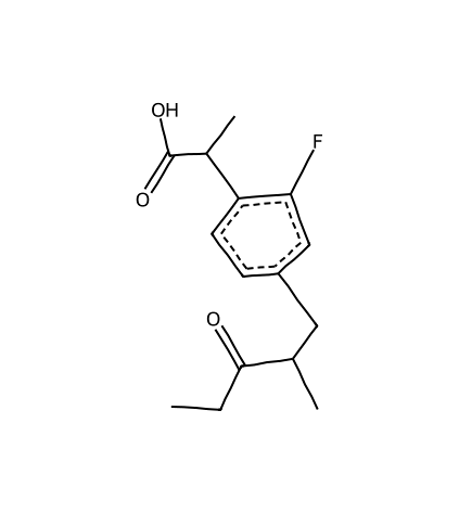 CCC(=O)C(C)Cc1ccc(C(C)C(=O)O)c(F)c1